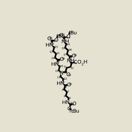 CC(C)(C)OC(=O)NCCCCC(=O)NCCN(CCNC(=O)CCCCNC(=O)OC(C)(C)C)C(=O)CCC(NC(=O)CCCCNC(=O)OC(C)(C)C)C(=O)O